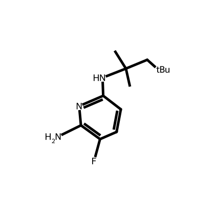 CC(C)(C)CC(C)(C)Nc1ccc(F)c(N)n1